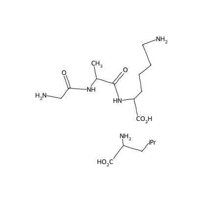 CC(C)CC(N)C(=O)O.CC(NC(=O)CN)C(=O)NC(CCCCN)C(=O)O